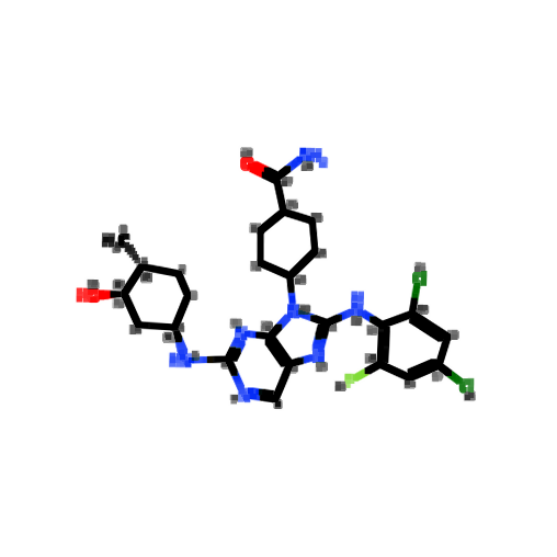 C[C@@H]1CC[C@@H](Nc2ncc3nc(Nc4c(F)cc(Cl)cc4Cl)n(C4CCC(C(N)=O)CC4)c3n2)C[C@H]1O